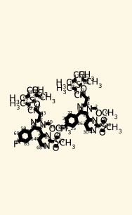 COCn1c(CCO[Si](C(C)C)(C(C)C)C(C)C)nc(-c2ccc(F)cc2)c1-c1ccnc(S(C)(=O)=O)n1.COCn1c(CCO[Si](C(C)C)(C(C)C)C(C)C)nc(-c2ccc(F)cc2)c1-c1ccnc(S(C)(=O)=O)n1